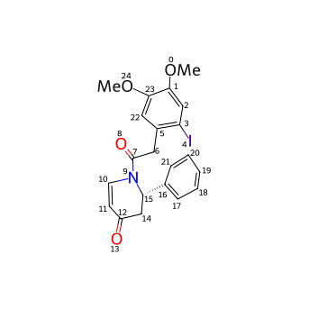 COc1cc(I)c(CC(=O)N2C=CC(=O)C[C@H]2c2ccccc2)cc1OC